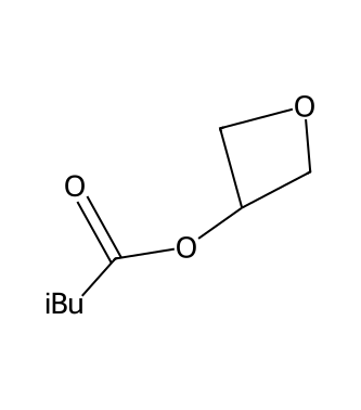 [CH2]CC(C)C(=O)OC1COC1